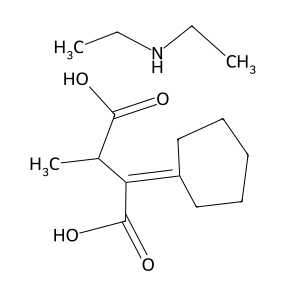 CC(C(=O)O)C(C(=O)O)=C1CCCCC1.CCNCC